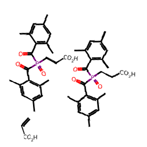 C=CC(=O)O.Cc1cc(C)c(C(=O)P(=O)(CCC(=O)O)C(=O)c2c(C)cc(C)cc2C)c(C)c1.Cc1cc(C)c(C(=O)P(=O)(CCC(=O)O)C(=O)c2c(C)cc(C)cc2C)c(C)c1